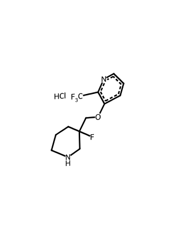 Cl.FC1(COc2cccnc2C(F)(F)F)CCCNC1